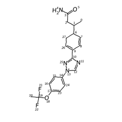 CC(CC(N)=O)C1C=CC(c2ncn(-c3ccc(OC(C)(F)F)cc3)n2)=CC1